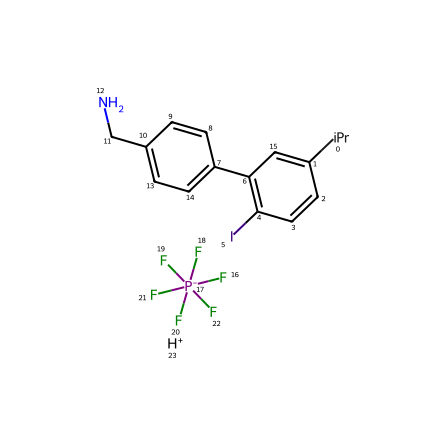 CC(C)c1ccc(I)c(-c2ccc(CN)cc2)c1.F[P-](F)(F)(F)(F)F.[H+]